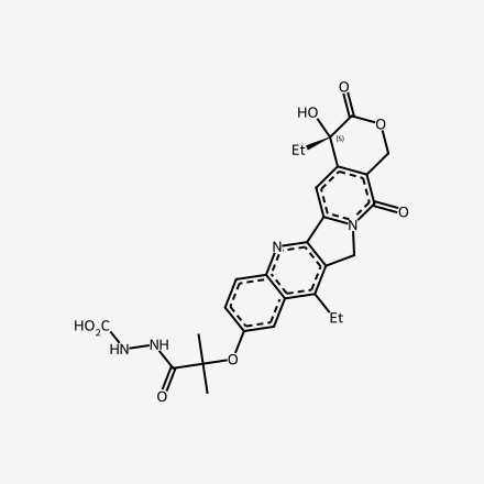 CCc1c2c(nc3ccc(OC(C)(C)C(=O)NNC(=O)O)cc13)-c1cc3c(c(=O)n1C2)COC(=O)[C@]3(O)CC